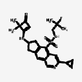 CC(C)(F)CNS(=O)(=O)c1c2c(cc3cnc(C4CC4)cc13)CC(NC1=CC(=O)C1(C)C)C2